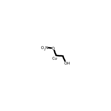 O=[N+]([O-])OCCO.[Cu]